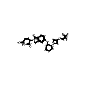 O=C1CCC(N2Cc3cc(O[C@@H]4CCCC[C@@H]4N4CC(OCC(F)(F)F)C4)ccc3C2=O)C(=O)N1